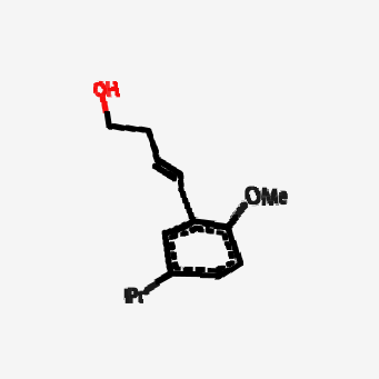 COc1ccc(C(C)C)cc1/C=C/CCO